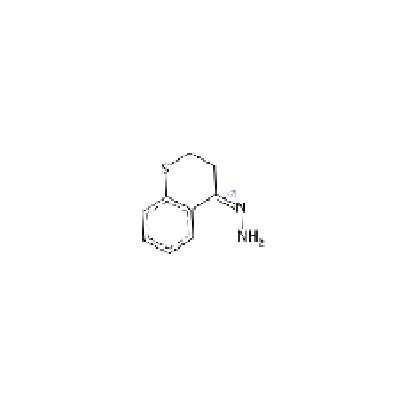 N/N=C1/CCSc2ccccc21